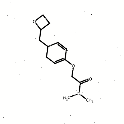 CN(C)C(=O)COC1=CCC(CC2CCO2)C=C1